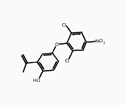 C=C(C)c1cc(Oc2c(Cl)cc([N+](=O)[O-])cc2Cl)ccc1O